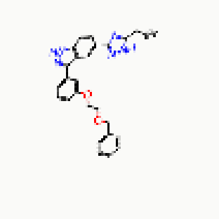 CC(C)Cc1nc(-c2ccc3[nH]nc(-c4cccc(OCCOCc5ccccc5)c4)c3c2)n[nH]1